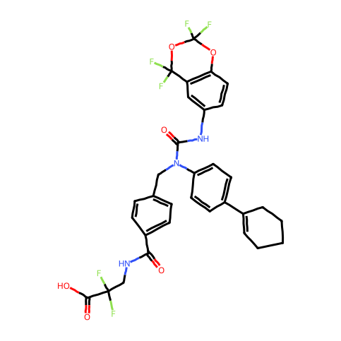 O=C(NCC(F)(F)C(=O)O)c1ccc(CN(C(=O)Nc2ccc3c(c2)C(F)(F)OC(F)(F)O3)c2ccc(C3=CCCCC3)cc2)cc1